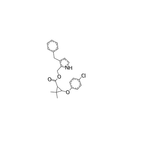 CC1(C)C(Oc2ccc(Cl)cc2)C1C(=O)OCc1[nH]ccc1Cc1ccccc1